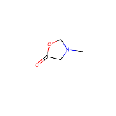 [CH2]N1COC(=O)C1